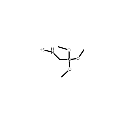 CO[Si](CNS)(OC)OC